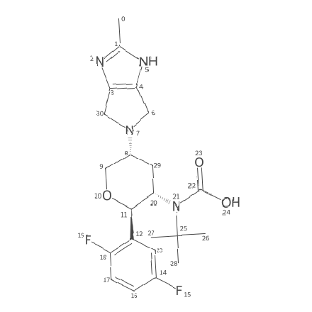 Cc1nc2c([nH]1)CN([C@H]1CO[C@H](c3cc(F)ccc3F)[C@@H](N(C(=O)O)C(C)(C)C)C1)C2